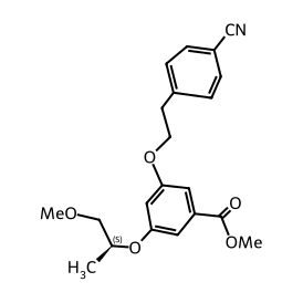 COC[C@H](C)Oc1cc(OCCc2ccc(C#N)cc2)cc(C(=O)OC)c1